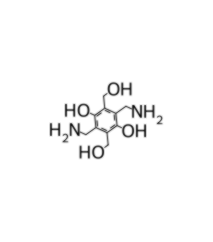 NCc1c(O)c(CO)c(CN)c(O)c1CO